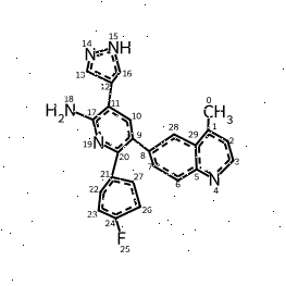 Cc1ccnc2ccc(-c3cc(-c4cn[nH]c4)c(N)nc3-c3ccc(F)cc3)cc12